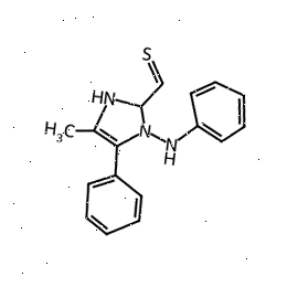 CC1=C(c2ccccc2)N(Nc2ccccc2)C(C=S)N1